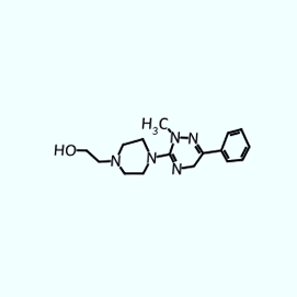 CN1N=C(c2ccccc2)CN=C1N1CCN(CCO)CC1